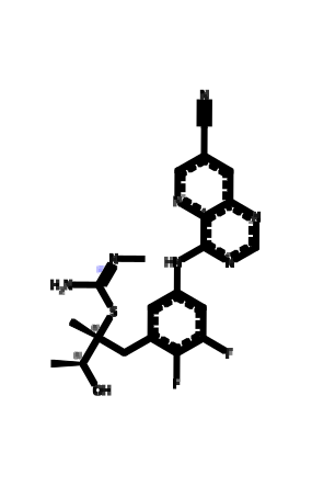 C/N=C(/N)S[C@](C)(Cc1cc(Nc2ncnc3cc(C#N)cnc23)cc(F)c1F)[C@H](C)O